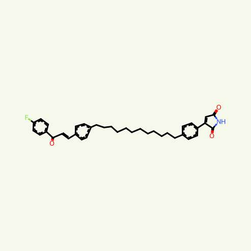 O=C1C=C(c2ccc(CCCCCCCCCCCCc3ccc(C=CC(=O)c4ccc(F)cc4)cc3)cc2)C(=O)N1